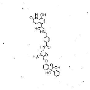 CN(CCNC(=O)c1ccc(CNCC(O)c2ccc(O)c3[nH]c(=O)ccc23)cc1)C(=O)COc1cccc(C(O)(C(=O)O)c2ccccc2)c1